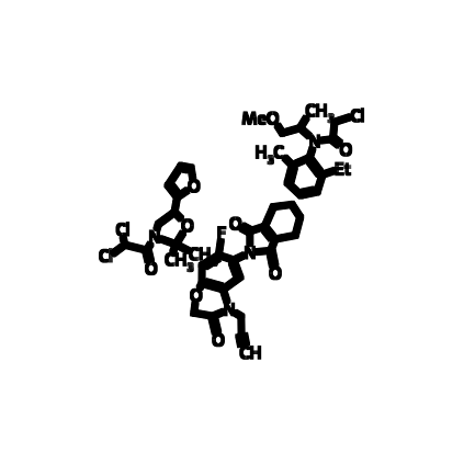 C#CCN1C(=O)COc2cc(F)c(N3C(=O)C4=C(CCCC4)C3=O)cc21.CC1(C)OC(c2ccco2)CN1C(=O)C(Cl)Cl.CCc1cccc(C)c1N(C(=O)CCl)C(C)COC